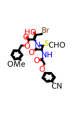 COc1cccc(COC(=O)C(=C(O)CBr)N2C(=O)C(NC(=O)COc3ccc(C#N)cc3)C2SC=O)c1